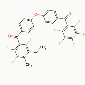 CCc1c(C)c(F)c(F)c(C(=O)c2ccc(Oc3ccc(C(=O)c4c(F)c(F)c(F)c(F)c4F)cc3)cc2)c1F